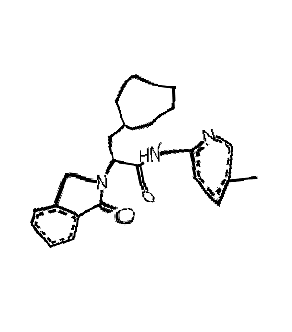 Cc1ccc(NC(=O)[C@H](CC2CCCCC2)N2Cc3ccccc3C2=O)nc1